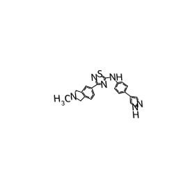 CN1Cc2ccc(-c3nsc(Nc4ccc(-c5cn[nH]c5)cc4)n3)cc2C1